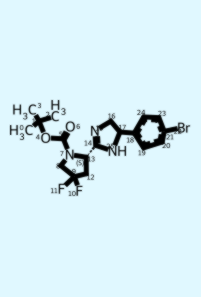 CC(C)(C)OC(=O)N1CC(F)(F)C[C@H]1C1=NCC(c2ccc(Br)cc2)N1